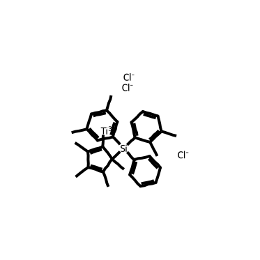 CC1=C(C)C(C)([Si](c2ccccc2)(c2cc(C)cc(C)c2)c2cccc(C)c2C)[C]([Ti+3])=C1C.[Cl-].[Cl-].[Cl-]